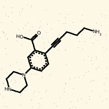 NCCCC#Cc1ccc(N2CCNCC2)cc1C(=O)O